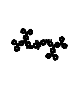 FCC(CF)(c1ccc(Nc2ccc(N(c3ccc(N(c4ccccc4)c4ccccc4)cc3)c3ccc(N(c4ccccc4)c4ccccc4)cc3)cc2)cc1)c1ccc(Nc2ccc(N(c3ccc(N(c4ccccc4)c4ccccc4)cc3)c3ccc(N(c4ccccc4)c4ccccc4)cc3)cc2)cc1